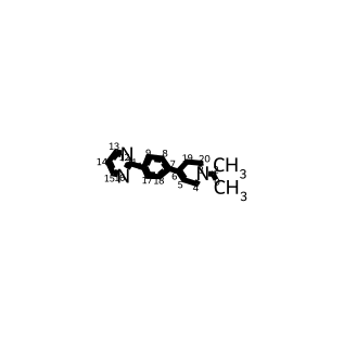 CC(C)N1CC=C(c2ccc(-c3ncccn3)cc2)CC1